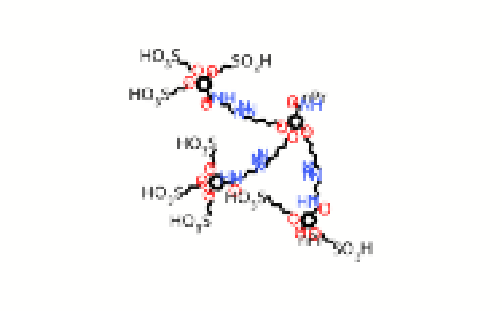 CCCNC(=O)c1cc(OCCCCc2cn(CCCNC(=O)c3cc(OCCCCCS(=O)(=O)O)c(OCCC)c(OCCCS(=O)(=O)O)c3)nn2)c(OCCCCc2cn(CCCNC(=O)c3cc(OCCCS(=O)(=O)O)c(OCCCS(=O)(=O)O)c(OCCCS(=O)(=O)O)c3)nn2)c(OCCCCc2cn(CCCNC(=O)c3cc(OCCCS(=O)(=O)O)c(OCCCS(=O)(=O)O)c(OCCCS(=O)(=O)O)c3)nn2)c1